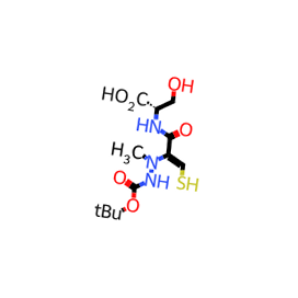 CN(NC(=O)OC(C)(C)C)/C(=C\S)C(=O)N[C@@H](CO)C(=O)O